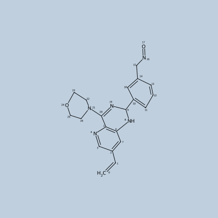 C=Cc1cnc2c(c1)NC(c1cccc(CN=O)c1)N=C2N1CCOCC1